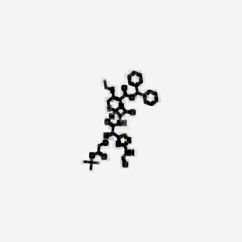 CCSC1=C(C(=O)OC(c2ccccc2)c2ccccc2)N2C(=O)C(NC(=O)/C(=N/OCC(=O)OC(C)(C)C)c3csc(NC=O)n3)[C@H]2SC1